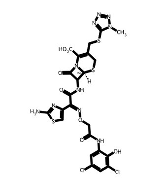 Cn1nnnc1SCC1=C(C(=O)O)N2C(=O)C(NC(=O)C(=NOCC(=O)Nc3cc(Cl)cc(Cl)c3O)c3csc(N)n3)[C@@H]2SC1